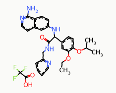 CCOc1cc(C(Nc2ccc3c(N)nccc3c2)C(=O)NCc2ccccn2)ccc1OC(C)C.O=C(O)C(F)(F)F